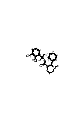 CN1CCCC(C(=O)NC(C)(C)c2cccc(Cl)c2Cl)C1c1ccccc1